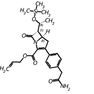 C=CCOC(=O)C1=C(c2ccc(CC(N)=O)cc2)C[C@@H]2[C@@H]([C@@H](C)O[Si](C)(C)C)C(=O)N12